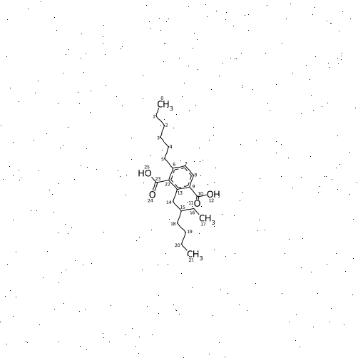 CCCCCCc1ccc(C(=O)O)c(CC(CC)CCCC)c1C(=O)O